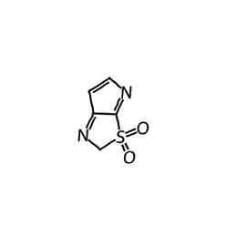 O=S1(=O)CN=C2C=CN=C21